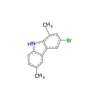 Cc1ccc2[nH]c3c(C)cc(Br)cc3c2c1